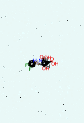 N[C@]1(C(=O)O)[C@@H]2[C@@H](C(=O)O)[C@@H]2[C@H](O)[C@H]1CSc1ccc(F)c(F)c1